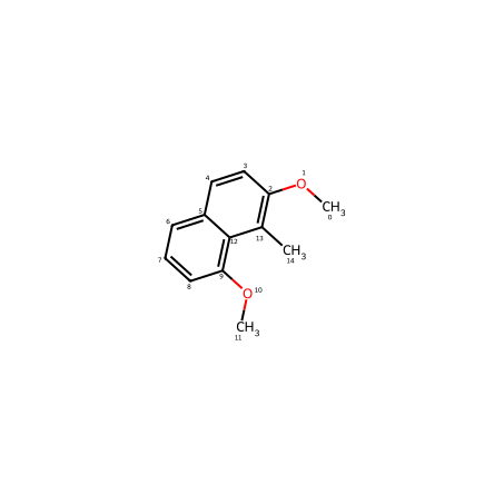 COc1ccc2cccc(OC)c2c1C